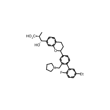 CCc1ccc(F)c(-c2ccc(C3CCc4ccc([C@H](O)[C@H](C)C(=O)O)cc4O3)cc2CN2CCCC2)c1